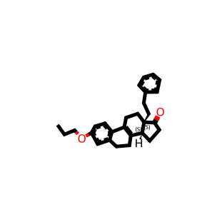 CCCOc1ccc2c(c1)CCC1=C2CC[C@]2(CCc3ccccc3)C(=O)CC[C@@H]12